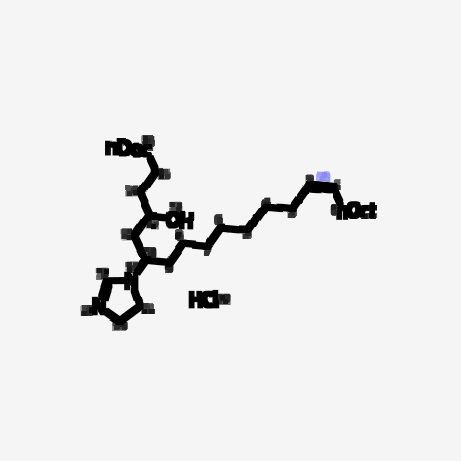 CCCCCCCC/C=C\CCCCCCCC(CC(O)CCCCCCCCCCCC)N1C=NCC1.Cl